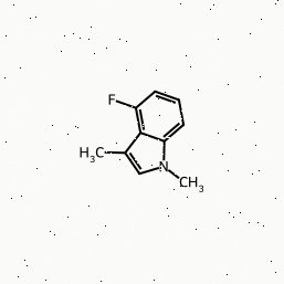 Cc1cn(C)c2cccc(F)c12